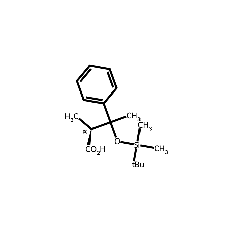 C[C@H](C(=O)O)C(C)(O[Si](C)(C)C(C)(C)C)c1ccccc1